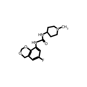 CN1CCC(NC(=O)Nc2cc(F)cc3c2OCOC3)CC1